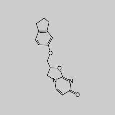 O=c1ccn2c(n1)OC(COc1ccc3c(c1)CCC3)C2